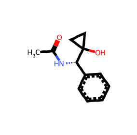 CC(=O)N[C@@H](c1ccccc1)C1(O)CC1